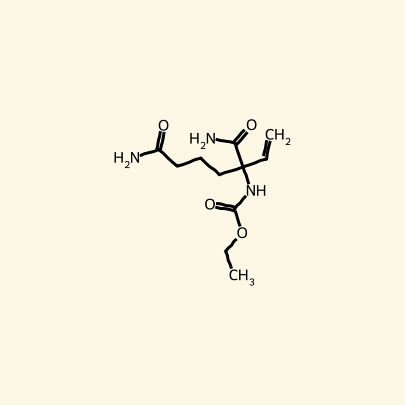 C=CC(CCCC(N)=O)(NC(=O)OCC)C(N)=O